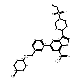 CCS(=O)(=O)N1CCC(c2c[nH]c3c(C(N)=O)cc(-c4cccc(CNC5CCC(O)CC5)c4)cc23)CC1